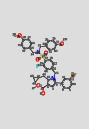 COC(=O)c1cc(-c2cccc(Br)c2)n(Cc2ccc(S(=O)(=O)N(Cc3ccc(OC)cc3)Cc3ccc(OC)cc3)c(F)c2)c1CC1CC1